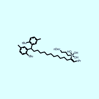 CCCC=C(CCCCCCCCCCCC(c1cc(C)ccc1C(C)(C)C)c1cc(C)ccc1C(C)(C)C)P(O)(O)(O)CCCCCCCCCCCCC